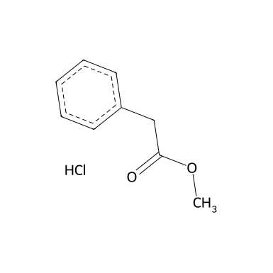 COC(=O)Cc1ccccc1.Cl